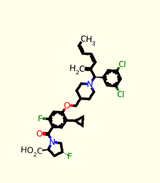 C=C(/C=C\C=C/C)[C@@H](c1cc(Cl)cc(Cl)c1)N1CCC(COc2cc(F)c(C(=O)N3C[C@H](F)C[C@H]3C(=O)O)cc2C2CC2)CC1